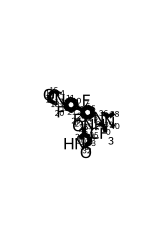 CC1CN(c2cc(F)c(-c3ccc(N4CCOCC4)c(F)c3)c(F)c2NC(=O)c2c[nH]c(=O)cc2C(F)(F)F)CC(C)N1C